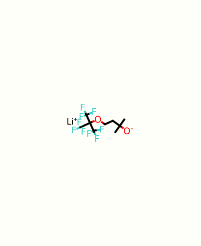 CC(C)([O-])CCOC(C(F)(F)F)(C(F)(F)F)C(F)(F)F.[Li+]